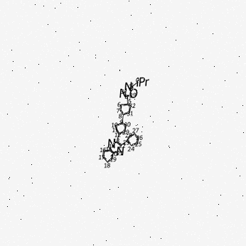 CC(C)c1nnc(-c2ccc(-c3ccc(-c4nc5ccccc5nc4-c4ccccc4)cc3)cc2)o1